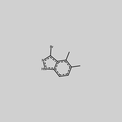 Cc1ccc2[nH]nc(Br)c2c1C